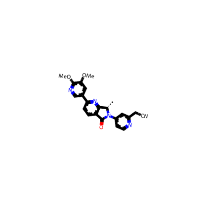 COc1cc(-c2ccc3c(n2)[C@H](C)N(c2ccnc(CC#N)c2)C3=O)cnc1OC